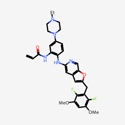 C=CC(=O)Nc1cc(N2CCN(CC)CC2)ccc1Nc1cc2cc(Cc3c(F)c(OC)cc(OC)c3F)oc2cn1